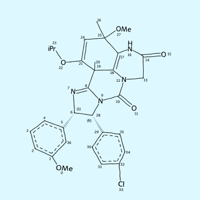 COc1cccc([C@@H]2N=C3N(C(=O)N4CC(=O)NC5=C4C3(C)C(OC(C)C)=CC5(C)OC)[C@@H]2c2ccc(Cl)cc2)c1